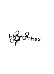 CCCCCCC(=O)OCC1C=C(F)C(=O)NC1=O